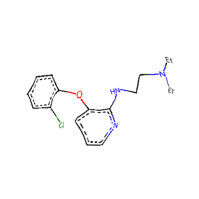 CCN(CC)CCNc1ncccc1Oc1ccccc1Cl